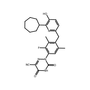 Cc1cc(-n2nc(C#N)c(=O)[nH]c2=O)c(F)c(C)c1Cc1ccc(O)c(C2CCCCCC2)n1